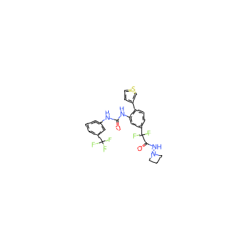 O=C(Nc1cccc(C(F)(F)F)c1)Nc1cc(C(F)(F)C(=O)NN2CCC2)ccc1-c1ccsc1